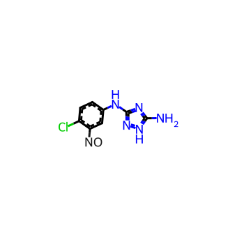 Nc1nc(Nc2ccc(Cl)c(N=O)c2)n[nH]1